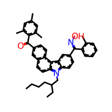 CCCCC(CC)Cn1c2ccc(C(=NO)c3ccccc3C)cc2c2c3ccc(C(=O)c4c(C)cc(C)cc4C)cc3ccc21